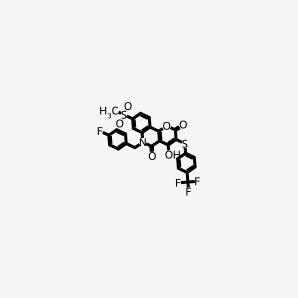 CS(=O)(=O)c1ccc2c3oc(=O)c(Sc4ccc(C(F)(F)F)cc4)c(O)c3c(=O)n(Cc3ccc(F)cc3)c2c1